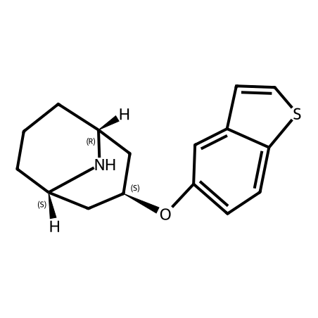 c1cc2cc(O[C@@H]3C[C@H]4CCC[C@@H](C3)N4)ccc2s1